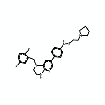 Fc1ccc(F)c(CN2CCNc3ncc(-c4ccc(NSCCN5CCCC5)cc4)cc32)c1